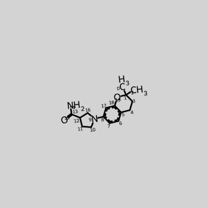 CC1(C)CCc2ccc(N3CCC(C(N)=O)C3)cc2O1